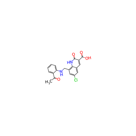 CC(=O)c1ccccc1NCc1cc(Cl)cc2cc(C(=O)O)c(=O)[nH]c12